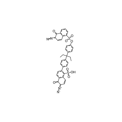 CCC(CC)(c1ccc(OS(=O)(=O)c2cccc3c2C=CC(=[N+]=[N-])C3=O)cc1)c1ccc(-c2ccc3c(c2S(=O)(=O)O)C=CC(=[N+]=[N-])C3=O)cc1